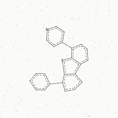 c1ccc(-c2cccc3c2sc2c(-c4ccncc4)cccc23)cc1